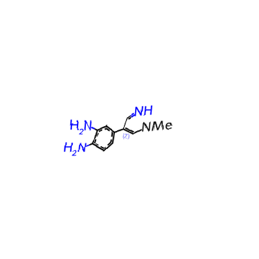 CN/C=C(\C=N)c1ccc(N)c(N)c1